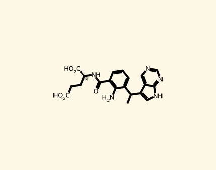 CC(c1cccc(C(=O)N[C@@H](CCC(=O)O)C(=O)O)c1N)c1c[nH]c2ncncc12